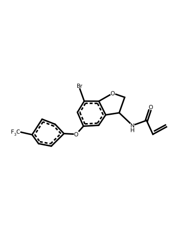 C=CC(=O)NC1COc2c(Br)cc(Oc3ccc(C(F)(F)F)cc3)cc21